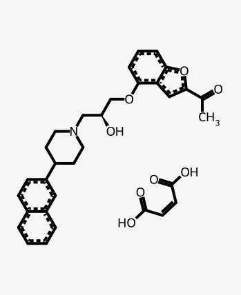 CC(=O)c1cc2c(OC[C@@H](O)CN3CCC(c4ccc5ccccc5c4)CC3)cccc2o1.O=C(O)/C=C\C(=O)O